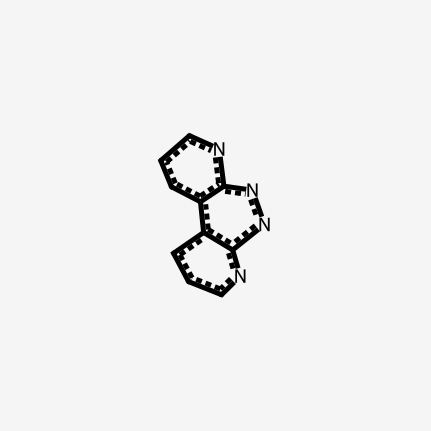 c1cnc2nnc3ncccc3c2c1